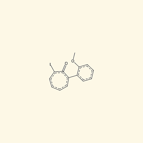 COc1ccccc1-c1ccccc(I)c1=O